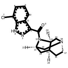 O=C(c1n[nH]c2c(Cl)cccc12)N1[C@@H]2C[C@@H]3CC[N@](C2)C[C@@H]31